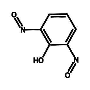 O=Nc1cccc(N=O)c1O